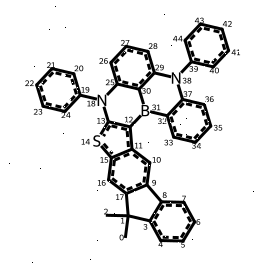 CC1(C)c2ccccc2-c2cc3c4c(sc3cc21)N(c1ccccc1)c1cccc2c1B4c1ccccc1N2c1ccccc1